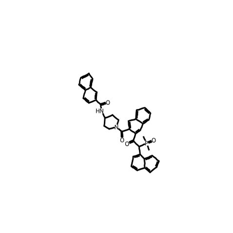 CP(C)(=O)C(C(=O)c1cc2ccccc2cc1C(=O)N1CCC(NC(=O)c2ccc3ccccc3c2)CC1)c1cccc2ccccc12